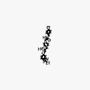 CCc1nc2cc(OCC(O)CN3CCN(CC(=O)NCc4ccc(Cl)cc4)CC3)ccc2s1